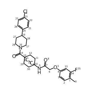 Cc1ccc(OCC(=O)NC23CCC(C(=O)N4CCC(c5ccc(Cl)cc5)CC4)(CC2)CC3)cc1F